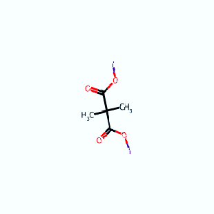 CC(C)(C(=O)OI)C(=O)OI